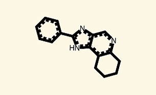 c1ccc(-c2nc3cnc4c(c3[nH]2)CCCC4)cc1